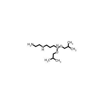 CC(C)CO[SiH](CCCNCCN)OCC(C)C